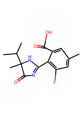 Cc1cc(F)c(C2=NC(=O)C(C)(C(C)C)N2)c(C(=O)O)c1